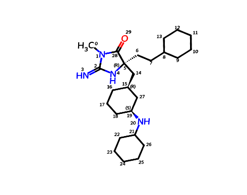 CN1C(=N)N[C@](CCC2CCCCC2)(C[C@@H]2CCC[C@H](NC3CCCCC3)C2)C1=O